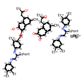 CCC(=O)Cc1cc(C)cc2cc([O-])c([O-])cc12.CCC(=O)Cc1cc(C)cc2cc([O-])c([O-])cc12.CCCCCC(C=Nc1ccc(CC)c(CC)c1)=Nc1ccc(CC)c(CC)c1.CCCCCC(C=Nc1ccc(CC)c(CC)c1)=Nc1ccc(CC)c(CC)c1.[Ni+2].[Ni+2].[Ni+2]